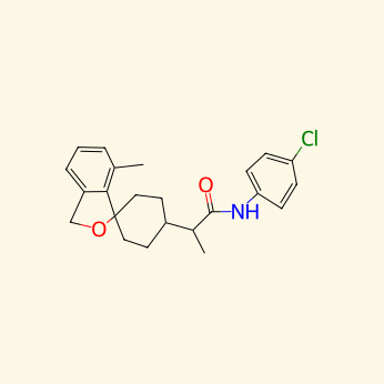 Cc1cccc2c1C1(CCC(C(C)C(=O)Nc3ccc(Cl)cc3)CC1)OC2